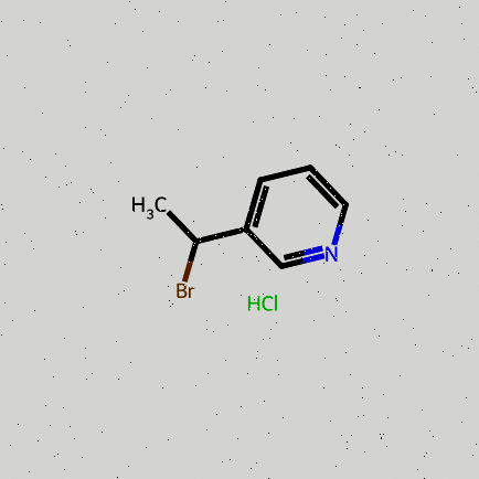 CC(Br)c1cccnc1.Cl